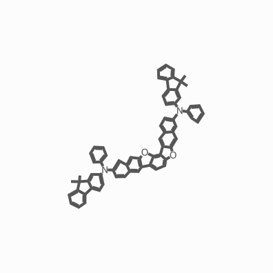 CC1(C)c2ccccc2-c2ccc(N(c3ccccc3)c3ccc4cc5c(cc4c3)oc3c5ccc4oc5cc6cc(N(c7ccccc7)c7ccc8c(c7)C(C)(C)c7ccccc7-8)ccc6cc5c43)cc21